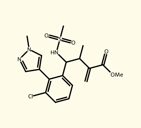 C=C(C(=O)OC)C(C)C(NS(C)(=O)=O)c1cccc(Cl)c1-c1cnn(C)c1